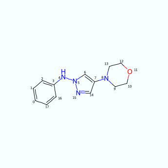 c1ccc(Nn2cc(N3CCOCC3)cn2)cc1